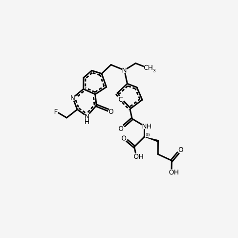 CCN(Cc1ccc2nc(CF)[nH]c(=O)c2c1)c1ccc(C(=O)N[C@@H](CCC(=O)O)C(=O)O)cc1